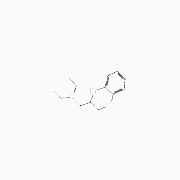 CCN(CC)CC1COc2ccccc2N1